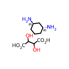 N[C@@H]1CCC[C@@H](N)C1.O=C(O)C(O)C(O)C(=O)O